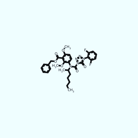 CCCCCC(C)N(C(=O)n1nnn(-c2c(F)cccc2F)c1=O)c1ccc(OC)c(C(=O)OCc2ccccc2)c1OC